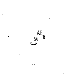 [Al].[Cu].[Si].[Ti]